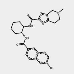 CN1CCc2nc(C(=O)N[C@@H]3CCCC[C@@H]3NC(=O)c3ccc4cc(Br)ccc4c3)sc2C1